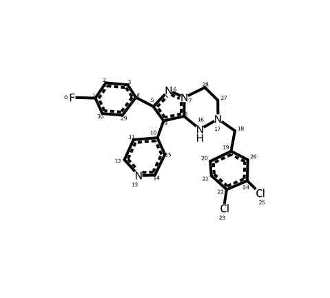 Fc1ccc(-c2nn3c(c2-c2ccncc2)NN(Cc2ccc(Cl)c(Cl)c2)CC3)cc1